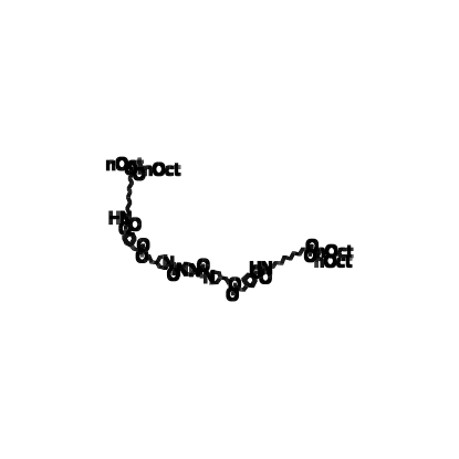 CCCCCCCCC(CCCCCCCC)OC(=O)CCCCCCCCNC(=O)Oc1ccc(CC(=O)OCCC2CCN(CC(=O)N3CCN(C(=O)CN4CCC(CCOC(=O)Cc5ccc(OC(=O)NCCCCCCCCC(=O)OC(CCCCCCCC)CCCCCCCC)cc5)CC4)CC3)CC2)cc1